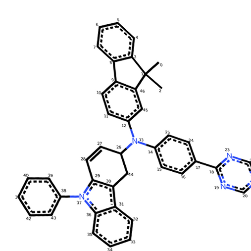 CC1(C)c2ccccc2-c2ccc(N(c3ccc(-c4ncncn4)cc3)C3C=Cc4c(c5ccccc5n4-c4ccccc4)C3)cc21